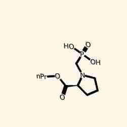 CCCOC(=O)[C@@H]1CCCN1CP(=O)(O)O